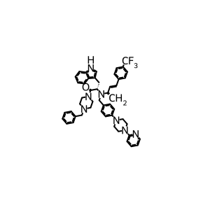 C=C(/C=C/c1ccc(C(F)(F)F)cc1)N(Cc1ccc(N2CCN(c3ccccn3)CC2)cc1)[C@@H](Cc1c[nH]c2ccccc12)C(=O)N1CCN(Cc2ccccc2)CC1